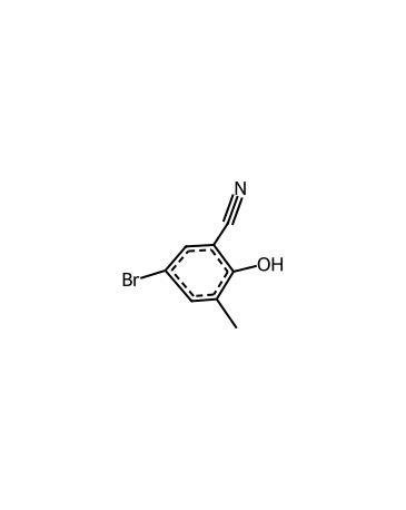 Cc1cc(Br)cc(C#N)c1O